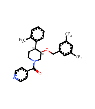 Cc1ccccc1[C@@H]1CCN(C(=O)c2ccncc2)C[C@@H]1OCc1cc(C(F)(F)F)cc(C(F)(F)F)c1